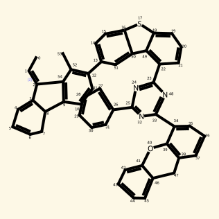 C/C=C1/C2=CC=CCC2c2ccc(-c3ccc4sc5cccc(-c6nc(-c7ccccc7)nc(-c7cccc8c7Oc7ccccc7C8)n6)c5c4c3)c(C)c21